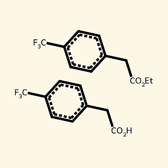 CCOC(=O)Cc1ccc(C(F)(F)F)cc1.O=C(O)Cc1ccc(C(F)(F)F)cc1